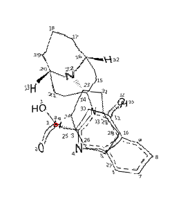 O=C(O)c1nc2ccccc2c(=O)n1C1C[C@H]2CCC[C@@H](C1)N2[C@H]1C[C@@H]2CCC[C@@H](C2)C1